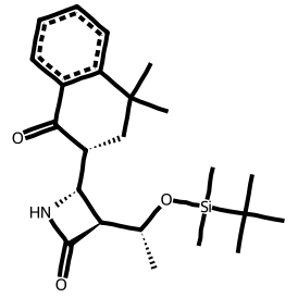 C[C@@H](O[Si](C)(C)C(C)(C)C)[C@H]1C(=O)N[C@@H]1[C@H]1CC(C)(C)c2ccccc2C1=O